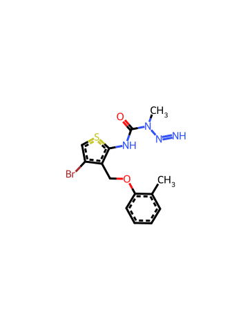 Cc1ccccc1OCc1c(Br)csc1NC(=O)N(C)N=N